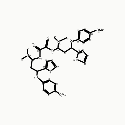 COc1ccc(OC(CC(OC(=O)C(=O)OC(CC(Oc2ccc(OC)cc2)c2cccs2)N(C)C)N(C)C)c2cccs2)cc1